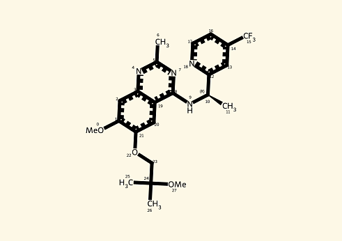 COc1cc2nc(C)nc(N[C@H](C)c3cc(C(F)(F)F)ccn3)c2cc1OCC(C)(C)OC